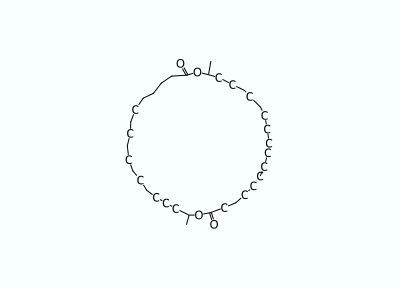 CC1CCCCCCCCCCCCCCCC(=O)OC(C)CCCCCCCCCCCCCCCC(=O)O1